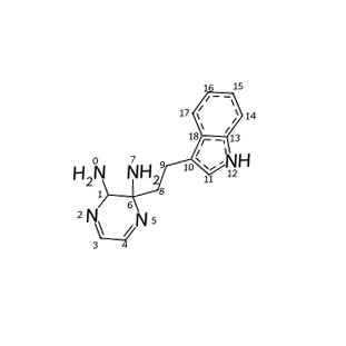 NC1N=CC=NC1(N)CCc1c[nH]c2ccccc12